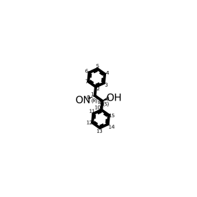 O=N[C@H](c1ccccc1)[C@@H](O)c1ccccc1